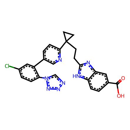 O=C(O)c1ccc2[nH]c(CCC3(c4ccc(-c5cc(Cl)ccc5-n5cnnn5)cn4)CC3)nc2c1